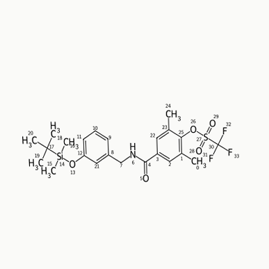 Cc1cc(C(=O)NCc2cccc(O[Si](C)(C)C(C)(C)C)c2)cc(C)c1OS(=O)(=O)C(F)(F)F